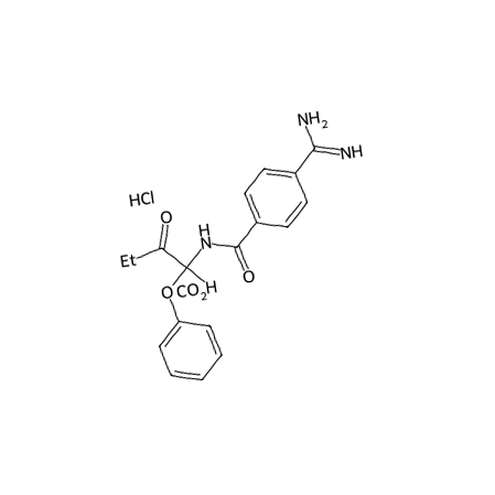 CCC(=O)C(NC(=O)c1ccc(C(=N)N)cc1)(Oc1ccccc1)C(=O)O.Cl